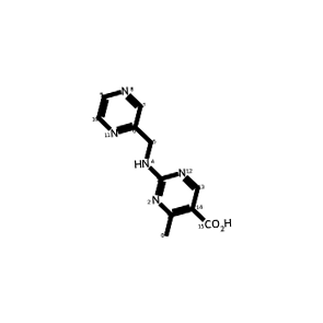 Cc1nc(NCc2cnccn2)ncc1C(=O)O